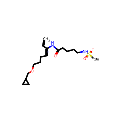 C=C/C(=C\CCCOCC1CC1)NC(=O)CCCCNS(=O)(=O)C(C)(C)C